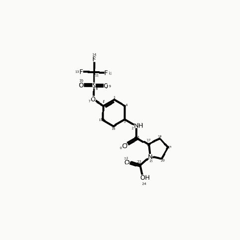 O=C(NC1CC=C(OS(=O)(=O)C(F)(F)F)CC1)C1CCCN1C(=O)O